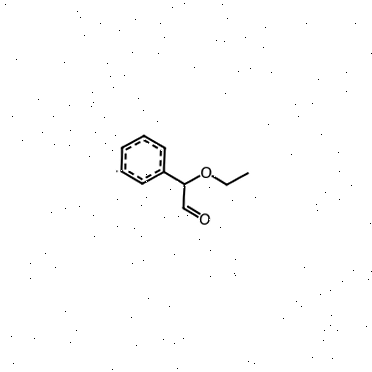 CCOC(C=O)c1c[c]ccc1